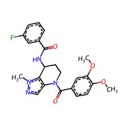 COc1ccc(C(=O)N2CCC(NC(=O)c3cccc(F)c3)c3c2cnn3C)cc1OC